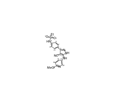 CCS(=O)(=O)Nc1ccc(-c2n[nH]c(Nc3ccc(OC)nc3)c2C#N)cc1